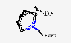 CCCCCn1cccc1.CS(=O)(=O)O